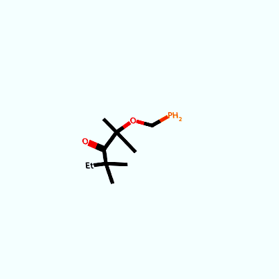 CCC(C)(C)C(=O)C(C)(C)OCP